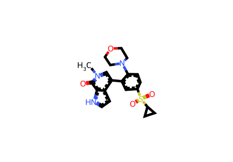 Cn1cc(-c2cc(S(=O)(=O)C3CC3)ccc2N2CCOCC2)c2cc[nH]c2c1=O